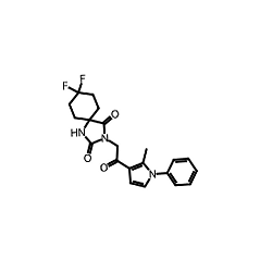 Cc1c(C(=O)CN2C(=O)NC3(CCC(F)(F)CC3)C2=O)ccn1-c1ccccc1